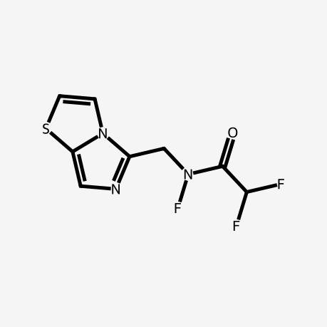 O=C(C(F)F)N(F)Cc1ncc2sccn12